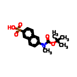 CN(C(=O)OC(C)(C)C)c1ccc2cc(S(=O)(=O)O)ccc2c1